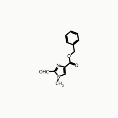 Cn1cc(C(=O)OCc2ccccc2)nc1C=O